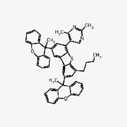 CCCCc1cc(C2(C)c3ccccc3Oc3ccccc32)cc2c1sc1c(-c3cnc(C)nc3C)cc(C3(C)c4ccccc4Oc4ccccc43)cc12